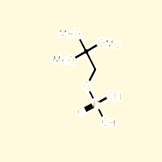 COC(COP(=O)(O)O)(OC)OC